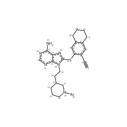 C#Cc1cc2c(cc1Sc1nc3c(N)ncnc3n1CCC1CCCN(C(C)=O)C1)CCCC2